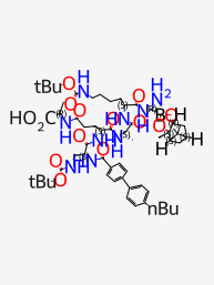 CCCCc1ccc(-c2ccc(C(=O)N[C@@H](CNC(=O)OC(C)(C)C)C(=O)N[C@@H](CCC(=O)N[C@H](C)C(=O)O)C(=O)N[C@@H](C)C(=O)N[C@@H](CCCCNC(=O)OC(C)(C)C)C(=O)N[C@@H](N)B3O[C@@H]4C[C@@H]5C[C@@H](C5(C)C)[C@]4(C)O3)cc2)cc1